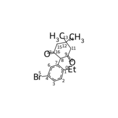 CCc1ccc(Br)cc1C1C(=O)CC(C)(C)CC1=O